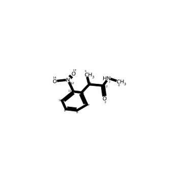 CNC(=O)C(C)c1ccccc1[N+](=O)[O-]